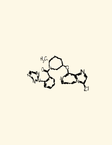 C[C@@H]1CC[C@@H](Oc2nccn3c(Cl)cnc23)CN1C(=O)c1ccccc1-n1ncnn1